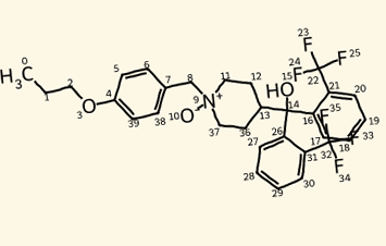 CCCOc1ccc(C[N+]2([O-])CCC(C(O)(c3ccccc3C(F)(F)F)c3ccccc3C(F)(F)F)CC2)cc1